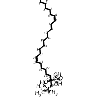 CCCCCC/C=C\CCCCCCCC/C=C\CCCCCC(O)(C[N+](C)(C)C)P(=O)(O)O